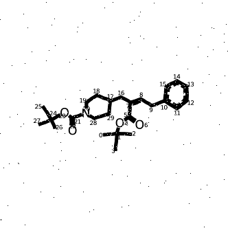 CC(C)(C)OC(=O)C(=CCc1ccccc1)CC1CCN(C(=O)OC(C)(C)C)CC1